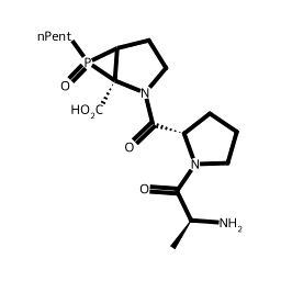 CCCCCP1(=O)C2CCN(C(=O)[C@@H]3CCCN3C(=O)[C@H](C)N)[C@]21C(=O)O